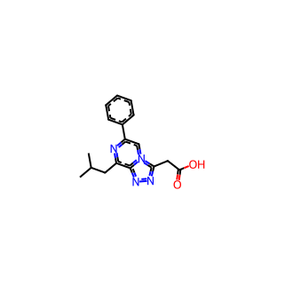 CC(C)Cc1nc(-c2ccccc2)cn2c(CC(=O)O)nnc12